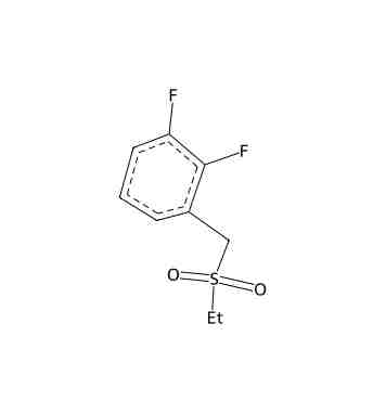 CCS(=O)(=O)Cc1cccc(F)c1F